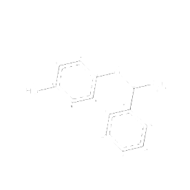 CC(Oc1ccc(O)cc1)c1ccccc1